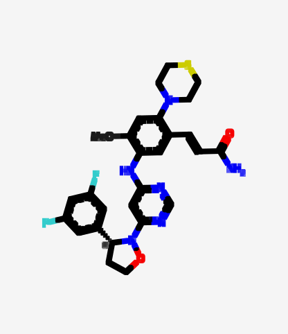 COc1cc(N2CCSCC2)c(C=CC(N)=O)cc1Nc1cc(N2OCC[C@@H]2c2cc(F)cc(F)c2)ncn1